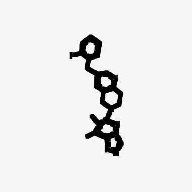 Cc1c(N2CCc3ncc(Cc4ccccc4F)cc3C2)nn2cnnc2c1C